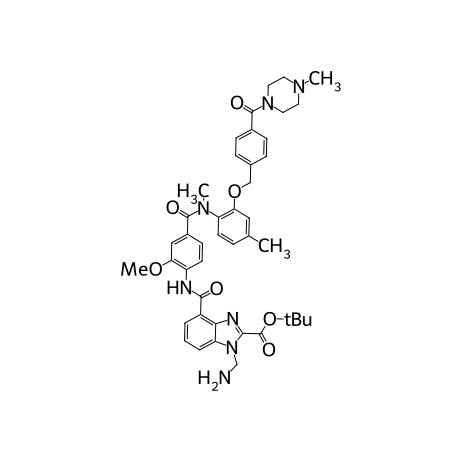 COc1cc(C(=O)N(C)c2ccc(C)cc2OCc2ccc(C(=O)N3CCN(C)CC3)cc2)ccc1NC(=O)c1cccc2c1nc(C(=O)OC(C)(C)C)n2CN